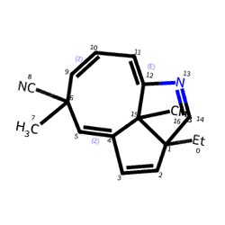 CCC12C=C/C3=C/C(C)(C#N)/C=C\C=C(\N=C1)C32C